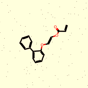 C=CC(=O)OC=COc1ccccc1-c1ccccc1